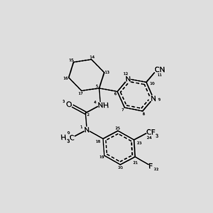 CN(C(=O)NC1(c2ccnc(C#N)n2)CCCCC1)c1ccc(F)c(C(F)(F)F)c1